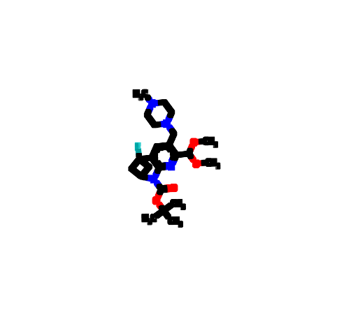 COC(OC)c1nc2c(cc1CN1CCN(C)CC1)C1(F)CC(C1)N2C(=O)OC(C)(C)C